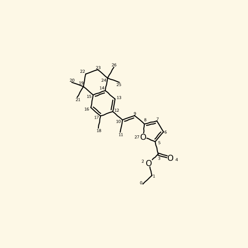 CCOC(=O)c1ccc(/C=C(\C)c2cc3c(cc2C)C(C)(C)CCC3(C)C)o1